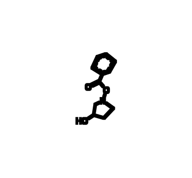 O=C(ON1CCC(O)C1)c1ccccc1